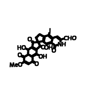 COC1=CC(=O)C2=C(O)C3=C(C(=O)C4(CCc5c4c(O)c4c(=O)[nH]c(C=O)cc4c5I)C3=O)C(O)C2C1=O